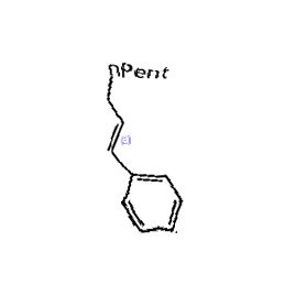 CCCCCC/C=C/c1cc[c]cc1